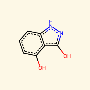 Oc1cccc2[nH]nc(O)c12